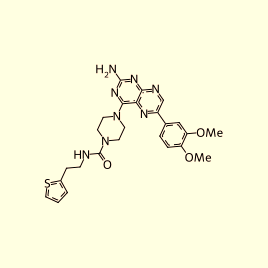 COc1ccc(-c2cnc3nc(N)nc(N4CCN(C(=O)NCCc5cccs5)CC4)c3n2)cc1OC